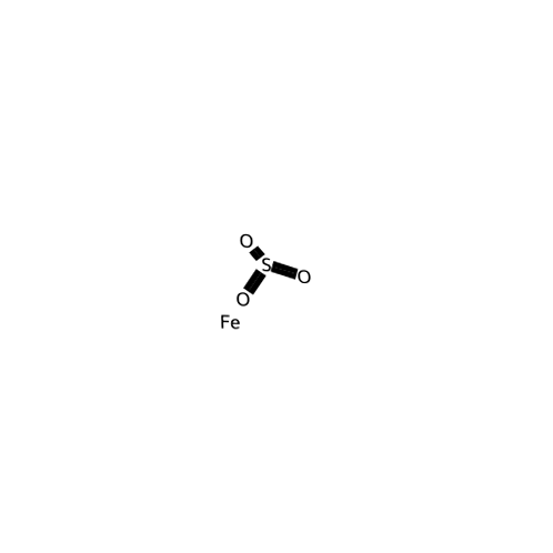 O=S(=O)=O.[Fe]